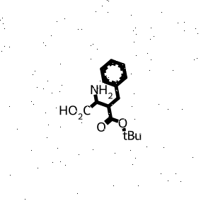 CC(C)(C)OC(=O)C(Cc1ccccc1)C(N)C(=O)O